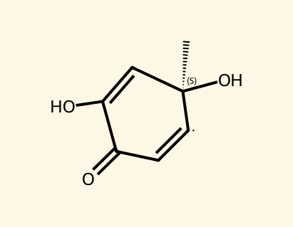 C[C@]1(O)[C]=CC(=O)C(O)=C1